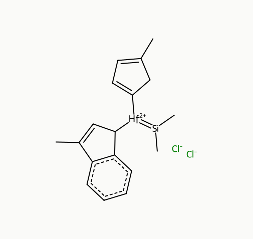 CC1=CC=[C]([Hf+2]([CH]2C=C(C)c3ccccc32)=[Si](C)C)C1.[Cl-].[Cl-]